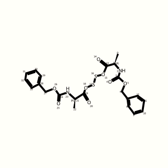 C[C@@H](NC(=O)OCc1ccccc1)C(=O)OSSOC(=O)[C@@H](C)NC(=O)OCc1ccccc1